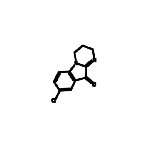 O=C1C2=NCCCN2c2ccc(Cl)cc21